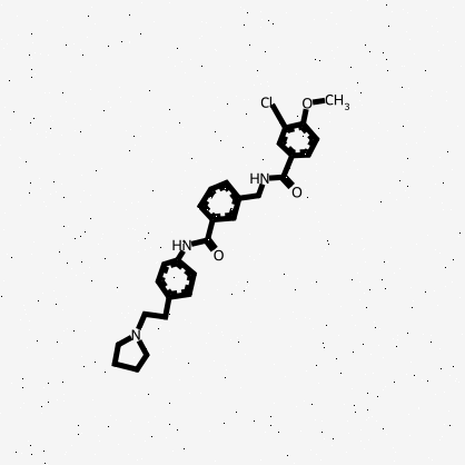 COc1ccc(C(=O)NCc2cccc(C(=O)Nc3ccc(CCN4CCCC4)cc3)c2)cc1Cl